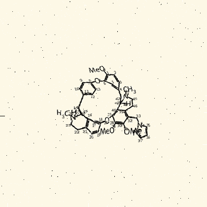 COc1ccc2cc1Oc1ccc(cc1)C[C@H]1c3cc(ccc3CCN1C)Oc1c(OC)c(OC)c(Cn3cccn3)c3c1[C@H](C2)N(C)CC3